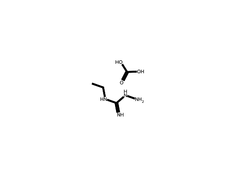 CCNC(=N)NN.O=C(O)O